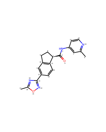 Cc1cc(NC(=O)[C@@H]2CCc3cc(-c4noc(C)n4)ccc32)ccn1